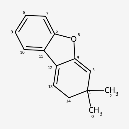 CC1(C)C=c2oc3ccccc3c2=CC1